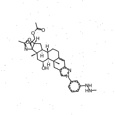 CNNc1cccc(-n2cc3c(n2)C=C2CC[C@@H]4[C@H]([C@@H](O)C[C@@]5(C)[C@H]4C[C@H]4OC(C)=N[C@]45C(=O)COC(C)=O)[C@@]2(C)C3)c1